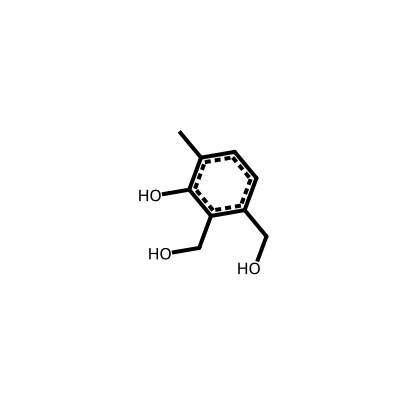 Cc1ccc(CO)c(CO)c1O